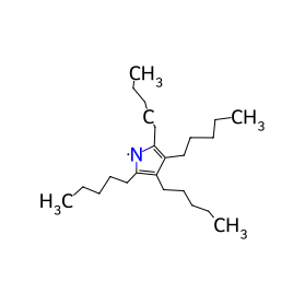 CCCCCC1=C(CCCCC)C(CCCCC)=C(CCCCC)[N]1